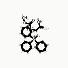 COC(=O)N[C@@H](C[PH](c1ccccc1)(c1ccccc1)c1ccccc1)C(=O)O